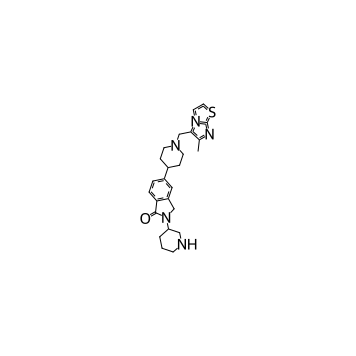 Cc1nc2sccn2c1CN1CCC(c2ccc3c(c2)CN(C2CCCNC2)C3=O)CC1